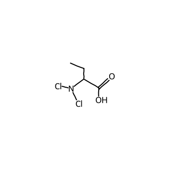 CCC(C(=O)O)N(Cl)Cl